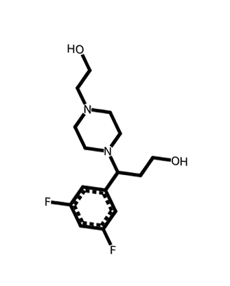 OCCC(c1cc(F)cc(F)c1)N1CCN(CCO)CC1